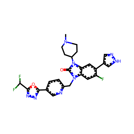 CN1CCC(n2c(=O)n(Cc3ccc(-c4nnc(C(F)F)o4)cn3)c3cc(F)c(-c4cn[nH]c4)cc32)CC1